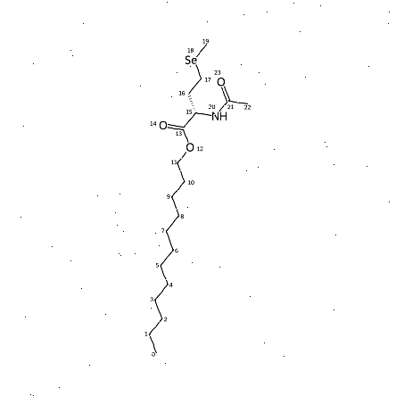 CCCCCCCCCCCCOC(=O)[C@H](CC[Se]C)NC(C)=O